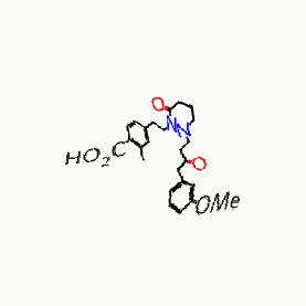 COc1cccc(CC(=O)CCN2CCCC(=O)N2CCc2ccc(C(=O)O)c(C)c2)c1